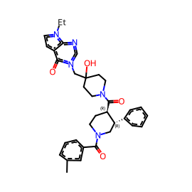 CCn1ccc2c(=O)n(CC3(O)CCN(C(=O)[C@@H]4CCN(C(=O)c5cccc(C)c5)C[C@H]4c4ccccc4)CC3)cnc21